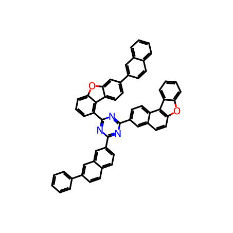 c1ccc(-c2ccc3ccc(-c4nc(-c5ccc6c(ccc7oc8ccccc8c76)c5)nc(-c5cccc6oc7cc(-c8ccc9ccccc9c8)ccc7c56)n4)cc3c2)cc1